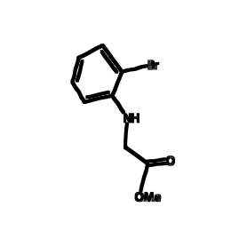 COC(=O)CNc1ccccc1Br